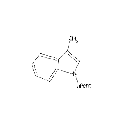 CCCCCn1cc(C)c2ccccc21